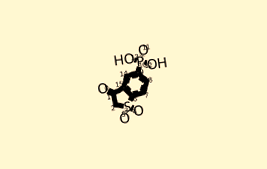 O=C1CS(=O)(=O)c2ccc(P(=O)(O)O)cc21